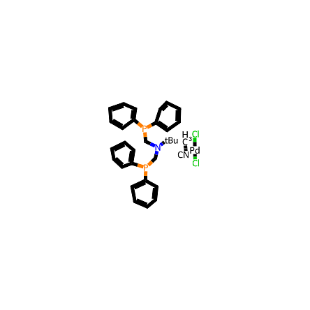 CC#N.CC(C)(C)N(CP(c1ccccc1)c1ccccc1)CP(c1ccccc1)c1ccccc1.[Cl][Pd][Cl]